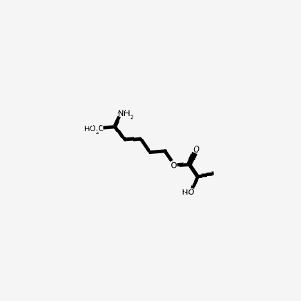 CC(O)C(=O)OCCCCC(N)C(=O)O